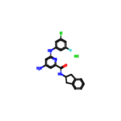 Cl.Nc1cc(Nc2cc(F)cc(Cl)c2)nc(C(=O)NC2Cc3ccccc3C2)c1